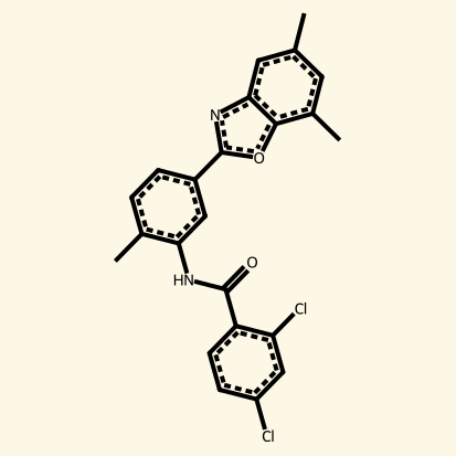 Cc1cc(C)c2oc(-c3ccc(C)c(NC(=O)c4ccc(Cl)cc4Cl)c3)nc2c1